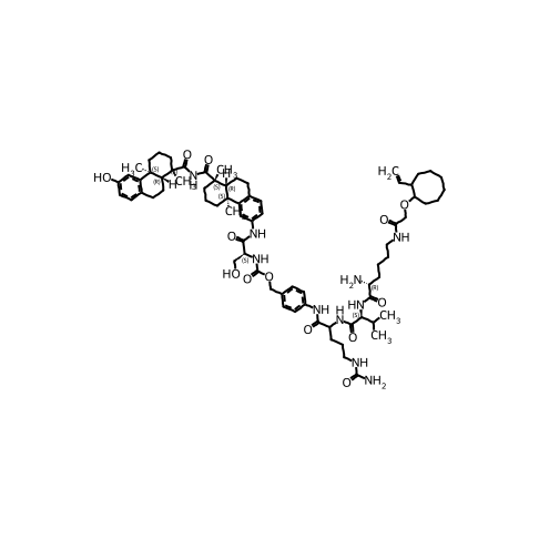 C=CC1CCCCCCC1OCC(=O)NCCCC[C@@H](N)C(=O)N[C@H](C(=O)NC(CCCNC(N)=O)C(=O)Nc1ccc(COC(=O)N[C@@H](CO)C(=O)Nc2ccc3c(c2)[C@@]2(C)CCC[C@](C)(C(=O)NC(=O)[C@@]4(C)CCC[C@]5(C)c6cc(O)ccc6CC[C@@H]45)[C@@H]2CC3)cc1)C(C)C